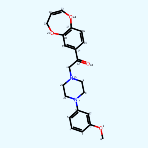 COc1cccc(N2CCN(CC(=O)c3ccc4c(c3)OCC=CO4)CC2)c1